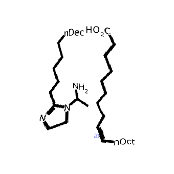 CCCCCCCC/C=C\CCCCCCCC(=O)O.CCCCCCCCCCCCCCCC1=NCCN1C(C)N